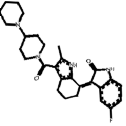 Cc1[nH]c2c(c1C(=O)N1CCC(N3CCCCC3)CC1)CCC/C2=C1/C(=O)Nc2ccc(F)cc21